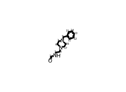 O=CNCCN1CCN(Cc2ccccc2)CC1